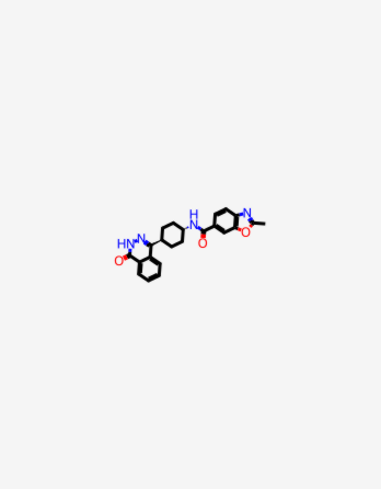 Cc1nc2ccc(C(=O)N[C@H]3CC[C@H](c4n[nH]c(=O)c5ccccc54)CC3)cc2o1